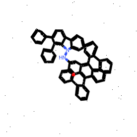 c1ccc(-c2ccccc2-c2c3ccccc3c(-c3ccccc3-c3ccccc3)c3cc(Nn4c5ccccc5c5ccc(-c6ccccc6)c(-c6ccccc6)c54)ccc23)cc1